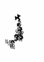 CC(C)(C)OC(=O)N1C[C@H](CCC(Nc2cccc(S(=O)(=O)NC(=O)c3ccc(-n4ccc(OCCC5C6(CC6)C56CC6)n4)nc3Cl)n2)c2ccccn2)CC1(C)C